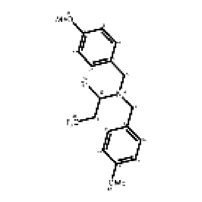 COc1ccc(CN(Cc2ccc(OC)cc2)C(Br)CC(F)(F)F)cc1